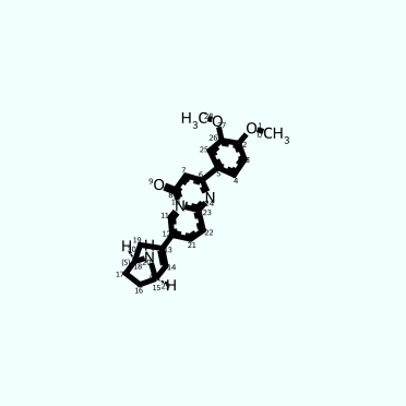 COc1ccc(-c2cc(=O)n3cc(C4=C[C@H]5CC[C@@H](C4)N5)ccc3n2)cc1OC